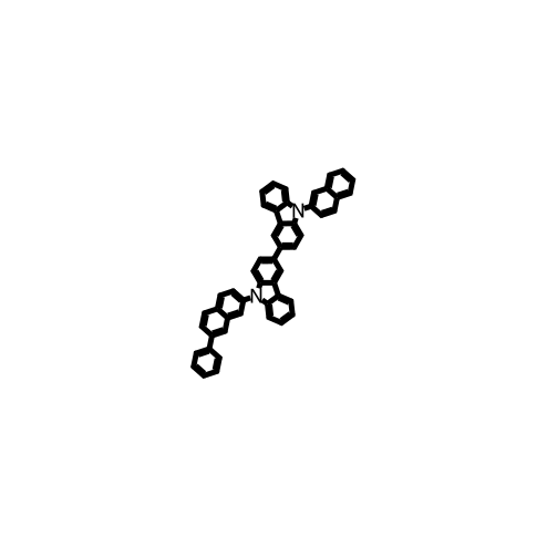 c1ccc(-c2ccc3ccc(-n4c5ccccc5c5cc(-c6ccc7c(c6)c6ccccc6n7-c6ccc7ccccc7c6)ccc54)cc3c2)cc1